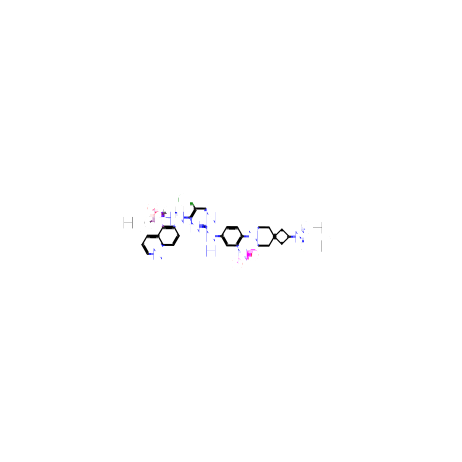 CN(C)C1CC2(CCN(c3ccc(Nc4ncc(Cl)c(Nc5ccc6ncccc6c5P(C)(C)=O)n4)cc3[N+](=O)[O-])CC2)C1